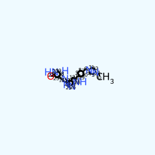 CCN1CCN(Cc2ccc(-c3cc4c(NCc5cc[nH]c(=O)c5)ncnc4[nH]3)cc2)CC1